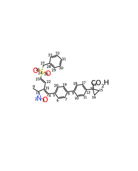 Cc1noc(-c2ccc(-c3ccc(C4(C(=O)O)CC4)cc3)cc2)c1C=CS(=O)(=O)Cc1ccccc1